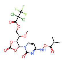 CO[C@H](COC(=O)C(Cl)(Cl)C(F)(F)F)[C@H]1OC(=O)O[C@H]1n1ccc(NOC(=O)C(C)C)nc1=O